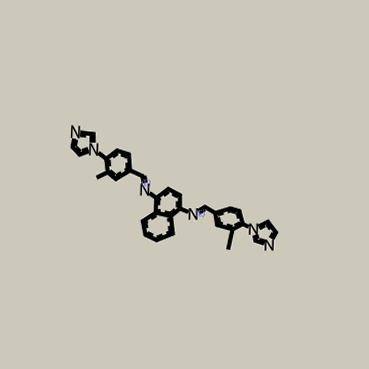 Cc1cc(/C=N/c2ccc(/N=C/c3ccc(-n4ccnc4)c(C)c3)c3ccccc23)ccc1-n1ccnc1